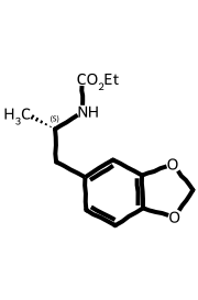 CCOC(=O)N[C@@H](C)Cc1ccc2c(c1)OCO2